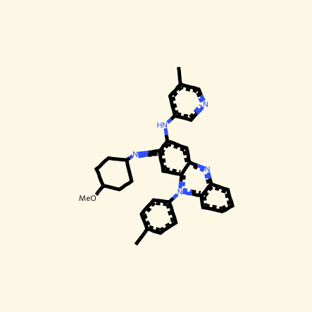 COC1CCC(/N=c2\cc3n(-c4ccc(C)cc4)c4ccccc4nc-3cc2Nc2cncc(C)c2)CC1